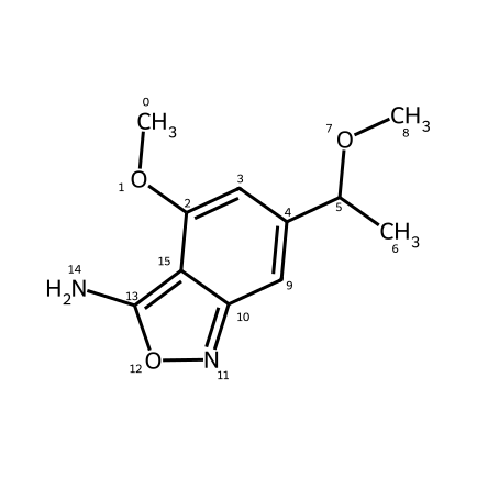 COc1cc(C(C)OC)cc2noc(N)c12